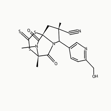 CN1C(=O)[C@@]23C[C@](C)(C#N)C(c4ccc(CO)nc4)N2C(=O)[C@]1(C)SC(=S)S3